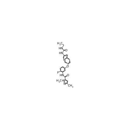 CCNC(=O)Nc1cn2cc(Oc3ccc(F)c(NC(=O)c4cc(C)nn4C)c3)ccc2n1